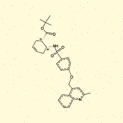 Cc1cc(COc2ccc(S(=O)(=O)N[C@@H]3CC=CC[C@@H]3C(=O)OC(C)(C)C)cc2)c2ccccc2n1